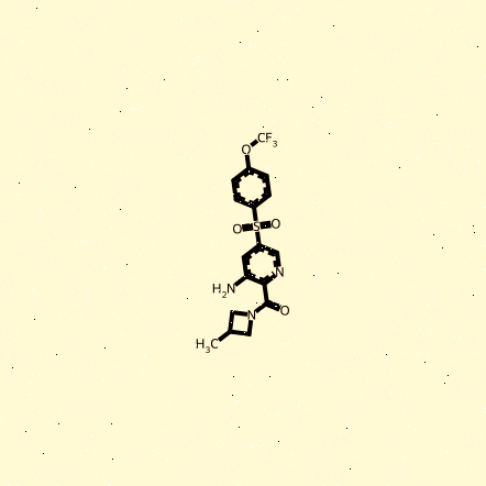 CC1CN(C(=O)c2ncc(S(=O)(=O)c3ccc(OC(F)(F)F)cc3)cc2N)C1